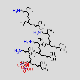 CC(C)=CCCC(C)=CCCC(C)=CCN.CC(C)=CCCC(C)=CCCC(C)=CCN.CC(C)=CCCC(C)=CCCC(C)=CCN.CC(C)=CCCC(C)=CCCC(C)=CCN.O=P(O)(O)OP(=O)(O)O